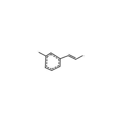 [CH2]C=Cc1cccc(C)c1